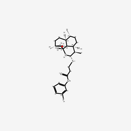 C[C@H]1[C@H](SCCC(=O)Oc2cccc(F)c2)O[C@@H]2O[C@]3(C)CC[C@H]4[C@H](C)CC[C@@H]1[C@@]24OO3